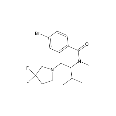 CC(C)C(CN1CCC(F)(F)C1)N(C)C(=O)c1ccc(Br)cc1